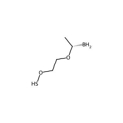 B[C@@H](C)OCCOS